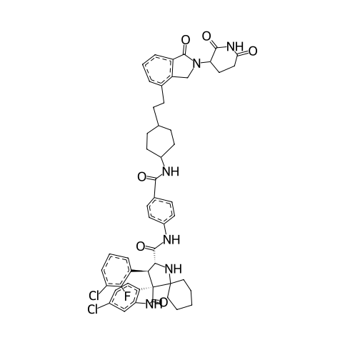 O=C1CCC(N2Cc3c(CCC4CCC(NC(=O)c5ccc(NC(=O)[C@@H]6NC7(CCCCC7)[C@@]7(C(=O)Nc8cc(Cl)ccc87)[C@H]6c6cccc(Cl)c6F)cc5)CC4)cccc3C2=O)C(=O)N1